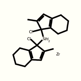 CC1=CC2=C(CCCC2)C1(Cl)[SiH2]C1(Cl)C(C)=CC2=C1CCCC2.[Zr]